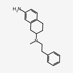 CN(CCc1ccccc1)C1CCc2ccc(N)cc2C1